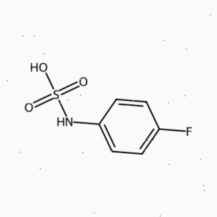 O=S(=O)(O)Nc1ccc(F)cc1